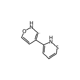 [C]1=C(C2=CC=CSN2)C=CON1